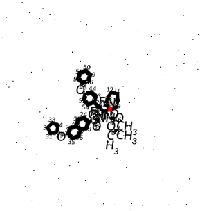 CC(C)(C)OC(=O)NC1CC2CCC(C1)N2C(=O)C(NS(=O)(=O)c1ccc2cc(OC3CCCC3)ccc2c1)C(F)(F)c1ccc(Oc2ccccc2)cc1